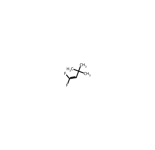 CC(C)(C)C=C(F)F